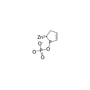 O=P([O-])([O-])OP1C=CCC1.[Zn+2]